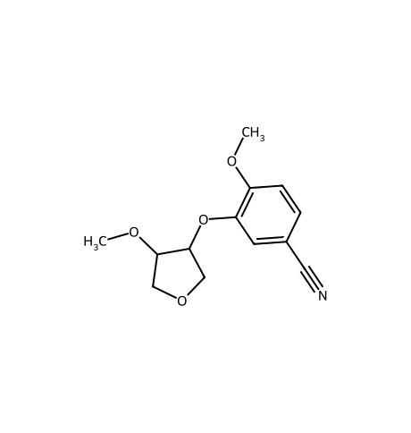 COc1ccc(C#N)cc1OC1COCC1OC